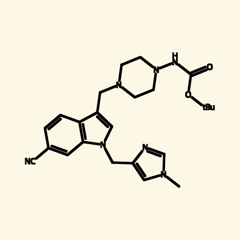 Cn1cnc(Cn2cc(CN3CCN(NC(=O)OC(C)(C)C)CC3)c3ccc(C#N)cc32)c1